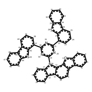 c1ccc2c(c1)oc1c2ccc2c3ccccc3n(-c3nc(-c4cccc5c4sc4ccccc45)nc(-c4cccc5c4sc4ccccc45)n3)c21